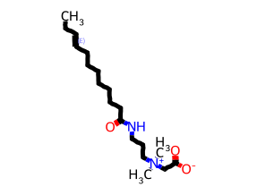 CC/C=C/CCCCCCCC(=O)NCCC[N+](C)(C)CC(=O)[O-]